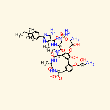 CCC(C)(C)c1ccc(-c2nc(C)c(C(=O)N[C@@H](CNS(N)(=O)=O)C(=O)N(C)[C@@H]3C(=O)N[C@@H](C)C(=O)N[C@H](C(=O)O)Cc4ccc(OC[C@H](O)CN)c(c4)-c4cc3cc(OC[C@H](O)CN)c4O)c(N)n2)cc1